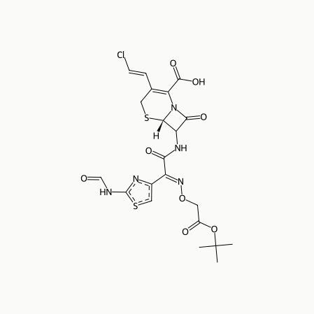 CC(C)(C)OC(=O)CON=C(C(=O)NC1C(=O)N2C(C(=O)O)=C(/C=C/Cl)CS[C@@H]12)c1csc(NC=O)n1